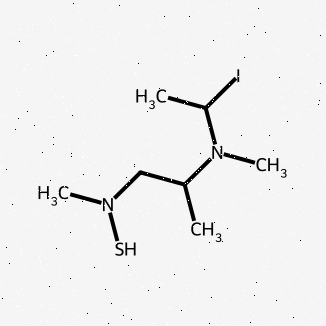 CC(I)N(C)C(C)CN(C)S